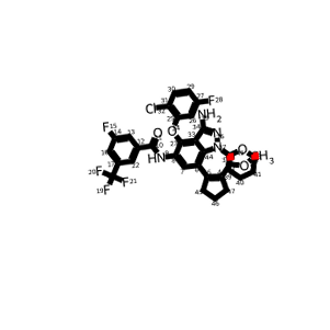 COC(=O)C1=C(c2cc(NC(=O)c3cc(F)cc(C(F)(F)F)c3)c(Oc3cc(F)ccc3Cl)c3c(N)nn(C4CCCCO4)c23)CCC1